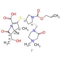 C=CCOC(=O)N1C[C@@H](SC2=C(C(=O)O)N3C(=O)[C@H]([C@@H](C)O)[C@H]3[C@H]2C)C[C@H]1CN1CC[N+](C)(C)CC1=O.[I-]